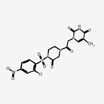 Cc1cn(CC(=O)N2CCN(S(=O)(=O)c3ccc([N+](=O)[O-])cc3Cl)C(=O)C2)c(=O)[nH]c1=O